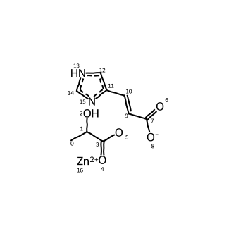 CC(O)C(=O)[O-].O=C([O-])C=Cc1c[nH]cn1.[Zn+2]